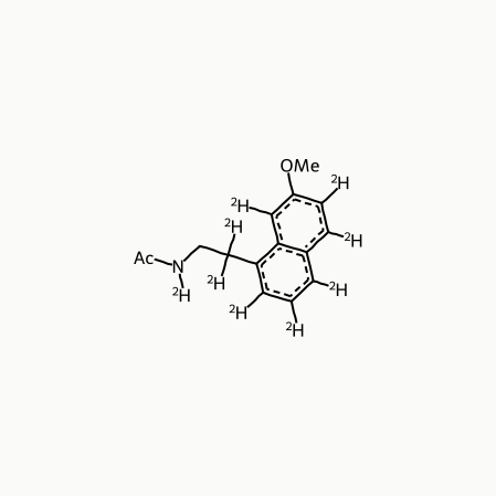 [2H]c1c([2H])c(C([2H])([2H])CN([2H])C(C)=O)c2c([2H])c(OC)c([2H])c([2H])c2c1[2H]